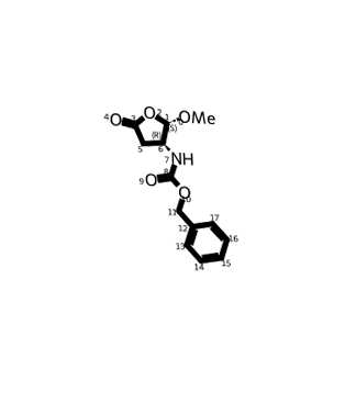 CO[C@H]1OC(=O)C[C@H]1NC(=O)OCc1ccccc1